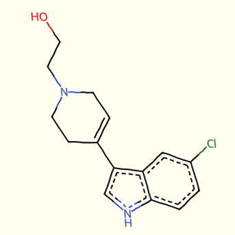 OCCN1CC=C(c2c[nH]c3ccc(Cl)cc23)CC1